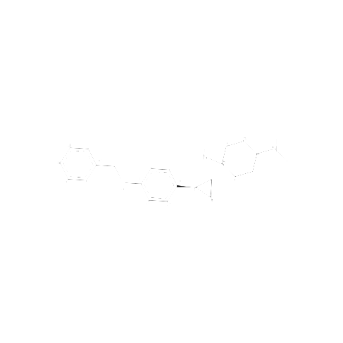 CNC1CCC(N)([C@@H]2C[C@H]2c2ccc(OCc3ccccc3)cc2)CC1